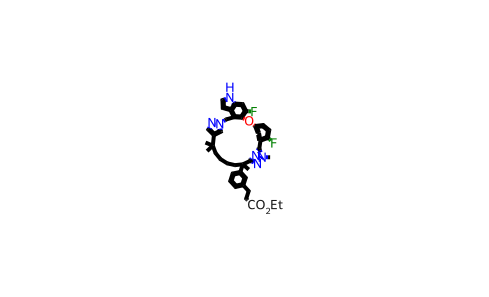 CCOC(=O)CCc1cccc(C2(C)CCCCC(C)(C)c3cnn(c3)Cc3c(c(F)cc4[nH]ccc34)Oc3ccc(F)c(c3)-c3nc2nn3C)c1